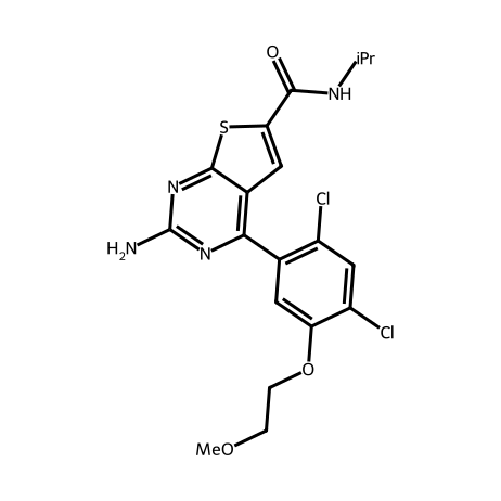 COCCOc1cc(-c2nc(N)nc3sc(C(=O)NC(C)C)cc23)c(Cl)cc1Cl